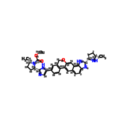 C[C@H]1CC[C@@H](c2nc3ccc4cc5c(cc4c3[nH]2)OCc2cc(-c3cnc([C@@H]4CC[C@H](C)N4C(=O)OC(C)(C)C)[nH]3)ccc2-5)N1